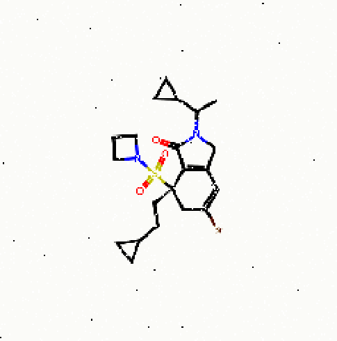 CC(C1CC1)N1CC2=C(C1=O)[C@@](CCC1CC1)(S(=O)(=O)N1CCC1)CC(Br)=C2